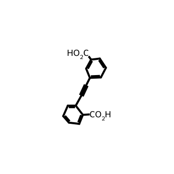 O=C(O)c1cccc(C#Cc2ccccc2C(=O)O)c1